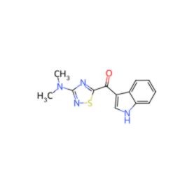 CN(C)c1nsc(C(=O)c2c[nH]c3ccccc23)n1